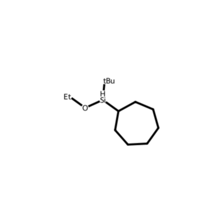 CCO[SiH](C1CCCCCC1)C(C)(C)C